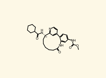 COC(=O)Nc1ccc2c(c1)NC(=O)CCCCC[C@H](NC(=O)C1CCCCC1)c1cc-2ccn1